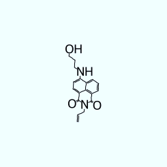 C=CCN1C(=O)c2cccc3c(NCCCO)ccc(c23)C1=O